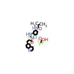 CC(C)C(=O)Nc1ccc(Cl)c(NC2=NC(=O)C(=Cc3ccc4ncccc4c3)S2)c1.O=C(O)C(F)(F)F